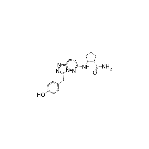 NC(=O)[C@H]1CCC[C@H]1Nc1ccc2nnc(Cc3ccc(O)cc3)n2n1